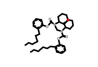 CCCCCCc1ccccc1OC(=O)N(CN(C(=O)Oc1ccccc1CCCCCC)C1CCCCC1)C1CCCCC1